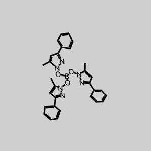 Cc1cc(-c2ccccc2)nn1OB(On1nc(-c2ccccc2)cc1C)On1nc(-c2ccccc2)cc1C